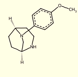 COc1ccc(N2C[C@@H]3CC[C@H]2CCN3)cc1